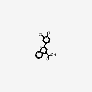 O=C(O)c1cc(-c2ccc(Cl)c(Cl)c2)nc2ccccc12